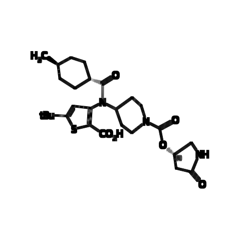 CC(C)(C)c1cc(N(C(=O)[C@H]2CC[C@H](C)CC2)C2CCN(C(=O)O[C@@H]3CNC(=O)C3)CC2)c(C(=O)O)s1